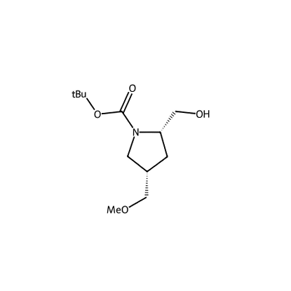 COC[C@H]1C[C@@H](CO)N(C(=O)OC(C)(C)C)C1